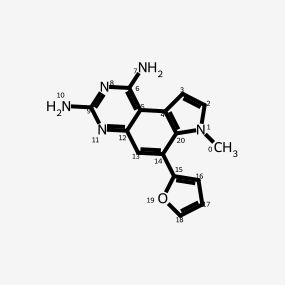 Cn1ccc2c3c(N)nc(N)nc3cc(-c3ccco3)c21